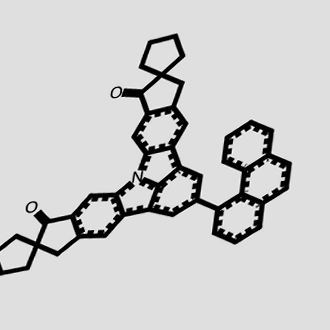 O=C1c2cc3c(cc2CC12CCCC2)c1cc(-c2cccc4ccc5ccccc5c24)cc2c4cc5c(cc4n3c12)C(=O)C1(CCCC1)C5